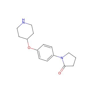 O=C1CCCN1c1ccc(OC2CCNCC2)cc1